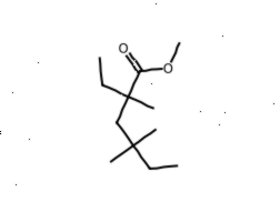 CCC(C)(C)CC(C)(CC)C(=O)OC